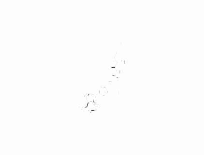 CSCC[C@H](N)C(=O)NS(=O)(=O)OC[C@H]1O[C@@H](n2cnc3c(N)ncnc32)[C@@H](O)[C@H]1O